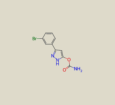 NC(=O)Oc1cc(-c2cccc(Br)c2)n[nH]1